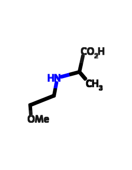 COCCNC(C)C(=O)O